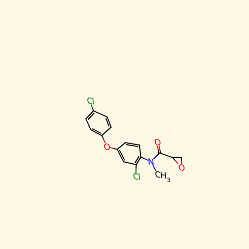 CN(C(=O)C1CO1)c1ccc(Oc2ccc(Cl)cc2)cc1Cl